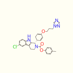 Cc1ccc(OC(=O)N2CCc3c([nH]c4ccc(Cl)cc34)[C@@H]2C2C=CC(OCCCn3cncn3)=CC2)cc1